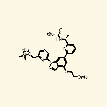 COCCOc1cc(-c2cccc([C@H](C)N[S@+]([O-])C(C)(C)C)n2)cc2c1cnn2-c1cncc(CO[Si](C)(C)C(C)(C)C)n1